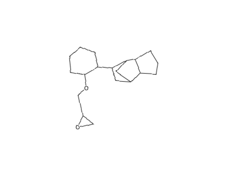 C1CCC(C2CC3CC2C2CCCC32)C(OCC2CO2)C1